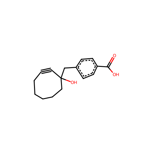 O=C(O)c1ccc(CC2(O)C#CCCCCC2)cc1